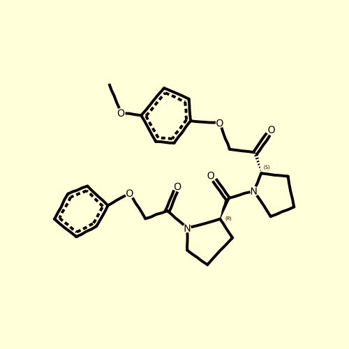 COc1ccc(OCC(=O)[C@@H]2CCCN2C(=O)[C@H]2CCCN2C(=O)COc2ccccc2)cc1